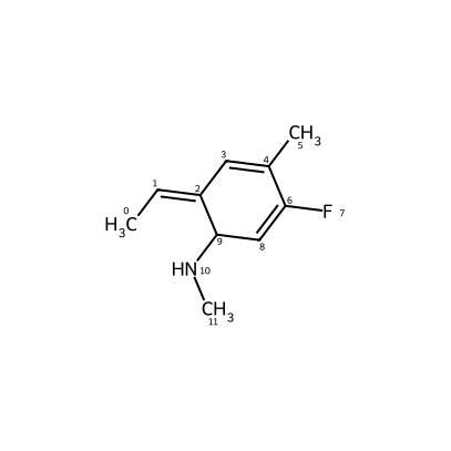 C/C=C1/C=C(C)C(F)=CC1NC